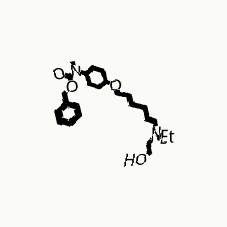 CCN(CCO)CCCCCCOC1CCC(N(C)C(=O)OCc2ccccc2)CC1